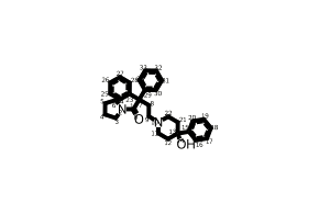 O=C(N1CCCC1)C(CCN1CCC(O)(c2ccccc2)CC1)(c1ccccc1)c1ccccc1